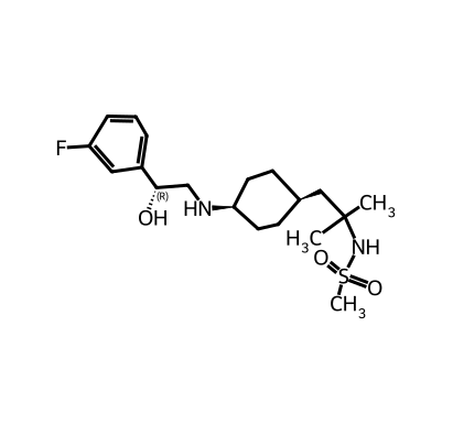 CC(C)(C[C@H]1CC[C@@H](NC[C@H](O)c2cccc(F)c2)CC1)NS(C)(=O)=O